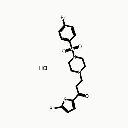 Cl.O=C(CCN1CCN(S(=O)(=O)c2ccc(Br)cc2)CC1)c1ccc(Br)s1